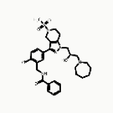 CS(=O)(=O)N1CCc2c(c(-c3ccc(Cl)c(CNC(=O)c4ccccc4)c3)nn2CC(O)CN2CCCCCC2)C1